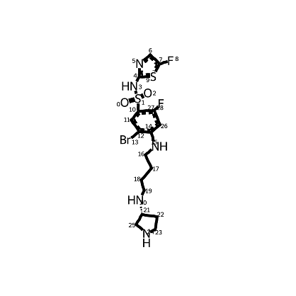 O=S(=O)(Nc1ncc(F)s1)c1cc(Br)c(NCCCCN[C@@H]2CCNC2)cc1F